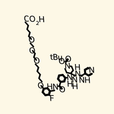 CC(C)(C)OC(=O)N1CCC(Nc2cccc(C(=O)NCc3cc(OCCCCCCOCCOCCOCCCCCC(=O)O)ccc3F)c2)(C(=N)NC(=N)c2ccncc2)CC1